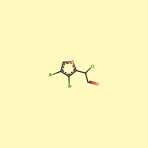 O=CC(Cl)c1scc(Br)c1Br